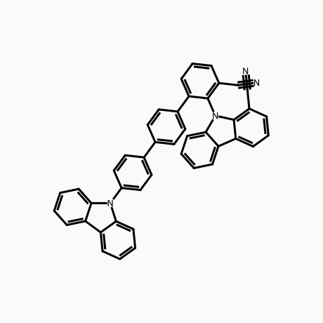 N#Cc1cccc(-c2ccc(-c3ccc(-n4c5ccccc5c5ccccc54)cc3)cc2)c1-n1c2ccccc2c2cccc(C#N)c21